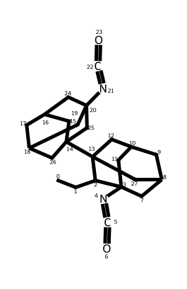 CCC1C2(N=C=O)CC3CC(C2)CC1(C12CC4CC(CC(N=C=O)(C4)C1)C2)C3